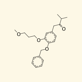 COCCCOc1cc(CC(=O)C(C)C)ccc1OCc1ccccc1